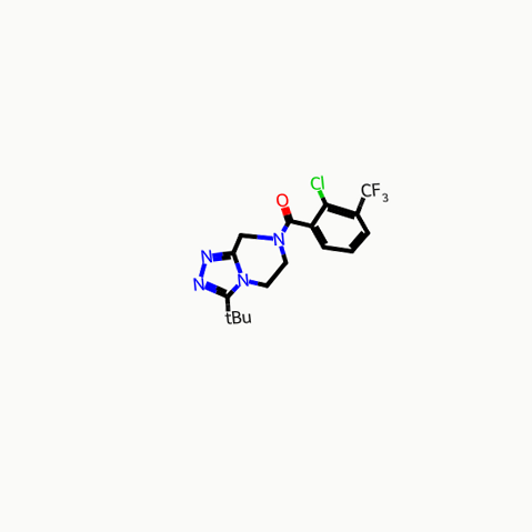 CC(C)(C)c1nnc2n1CCN(C(=O)c1cccc(C(F)(F)F)c1Cl)C2